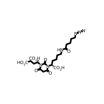 [N-]=[N+]=NCCCCC(=O)NCCCC[C@@H](C(=O)O)N1C(=O)CC(=O)N([C@@H](CCC(=O)O)C(=O)O)C1=O